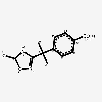 CC(C)(C1=NOC(C(F)(F)F)N1)c1ccc(C(=O)O)cc1